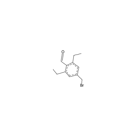 CCc1cc(CBr)cc(CC)c1C=O